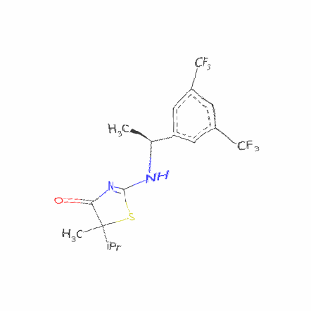 CC(C)C1(C)SC(N[C@@H](C)c2cc(C(F)(F)F)cc(C(F)(F)F)c2)=NC1=O